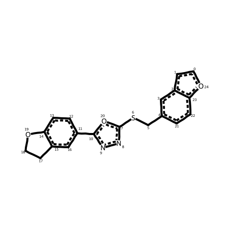 c1cc2cc(CSc3nnc(-c4ccc5c(c4)CCO5)o3)ccc2o1